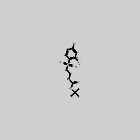 CC(C)(C)OC(=O)NCCS(=O)(=O)c1ccc(Br)cc1Cl